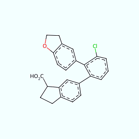 O=C(O)C1CCc2ccc(-c3cccc(Cl)c3-c3ccc4c(c3)CCO4)cc21